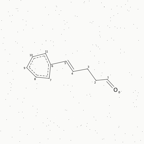 O=CCCC=Cc1ccccc1